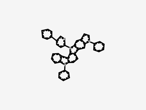 c1ccc(-c2ccc(-n3c4cc5ccn(-c6ccccc6)c5cc4c4ccc5c(c6ccccc6n5-c5ccccc5)c43)nc2)cc1